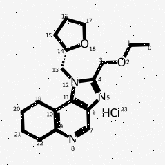 CCOCc1nc2cnc3c(c2n1C[C@@H]1CCCO1)CCCC3.Cl